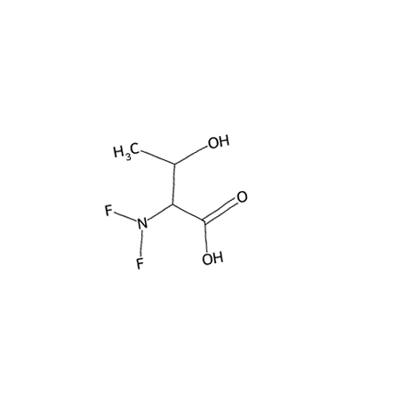 CC(O)C(C(=O)O)N(F)F